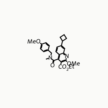 CCOC(=O)c1c(OC)nc2cc(C3CCC3)ccc2c1C(=O)N(C)Cc1ccc(OC)cc1